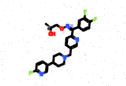 C[C@@H](O)CO/N=C(/c1ccc(F)c(F)c1)c1ccc(CN2CCC(c3ccc(F)nc3)CC2)cn1